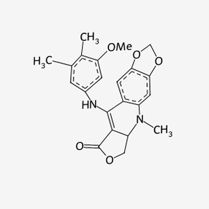 COc1cc(NC2=C3C(=O)OCC3N(C)c3cc4c(cc32)OCO4)cc(C)c1C